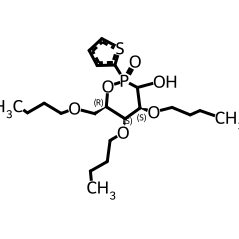 CCCCOC[C@H]1OP(=O)(c2cccs2)C(O)[C@@H](OCCCC)[C@@H]1OCCCC